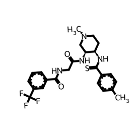 Cc1ccc(C(=S)N[C@@H]2CCN(C)C[C@@H]2NC(=O)CNC(=O)c2cccc(C(F)(F)F)c2)cc1